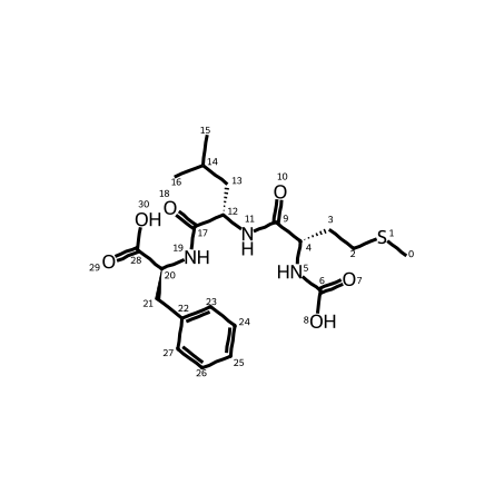 CSCC[C@H](NC(=O)O)C(=O)N[C@@H](CC(C)C)C(=O)N[C@@H](Cc1ccccc1)C(=O)O